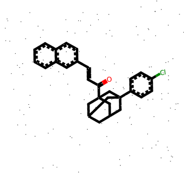 O=C(C=Cc1ccc2ccccc2c1)C12CC3CC(C1)CC(c1ccc(Cl)cc1)(C3)C2